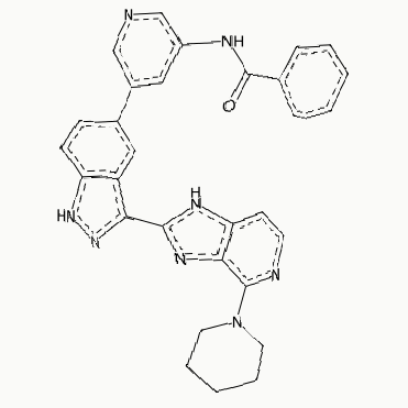 O=C(Nc1cncc(-c2ccc3[nH]nc(-c4nc5c(N6CCCCC6)nccc5[nH]4)c3c2)c1)c1ccccc1